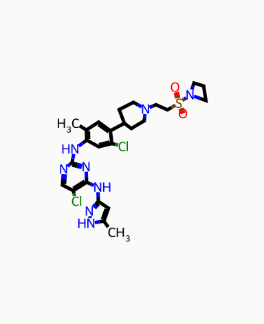 Cc1cc(Nc2nc(Nc3cc(Cl)c(C4CCN(CCS(=O)(=O)N5CCC5)CC4)cc3C)ncc2Cl)n[nH]1